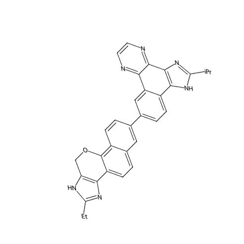 CCc1nc2c([nH]1)COc1c-2ccc2cc(-c3ccc4c(c3)c3nccnc3c3nc(C(C)C)[nH]c43)ccc12